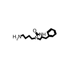 NCCCCN1CC(Cc2ccccc2)NC1=O